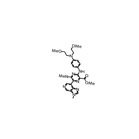 CNc1nc(Nc2ccc(N(CCOC)CCOC)cc2)c(C(=O)OC)nc1-c1cncc2c1ncn2C